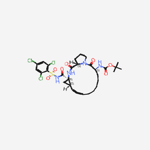 CC(C)(C)OC(=O)N[C@H]1CCCCCC=C=C[C@@H]2C[C@@]2(C(=O)NS(=O)(=O)c2c(Cl)cc(Cl)cc2Cl)NC(=O)[C@@H]2CCCN2C1=O